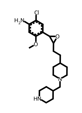 COc1cc(N)c(Cl)cc1C1OC1CCC1CCN(CC2CCNCC2)CC1